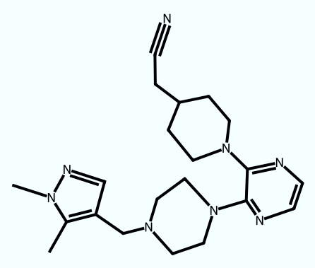 Cc1c(CN2CCN(c3nccnc3N3CCC(CC#N)CC3)CC2)cnn1C